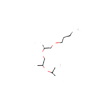 [CH2]C(C)OC(C)COC(C)COCCCC